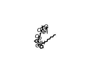 CCCCCCCCCCC1(C(=O)NC2CCCC2OC(=O)CCNC(=O)C2OC(C)(C)OCC2(C)C)CCCC1